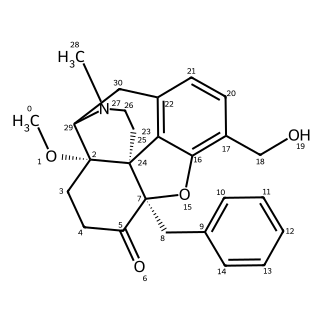 CO[C@@]12CCC(=O)[C@]3(Cc4ccccc4)Oc4c(CO)ccc5c4[C@@]31CCN(C)C2C5